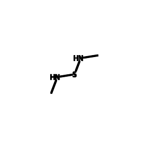 CNSNC